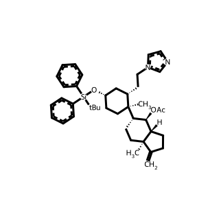 C=C1CC[C@H]2[C@H](OC(C)=O)[C@@H]([C@@]3(C)CC[C@H](O[Si](c4ccccc4)(c4ccccc4)C(C)(C)C)C[C@@H]3CCn3ccnc3)CC[C@]12C